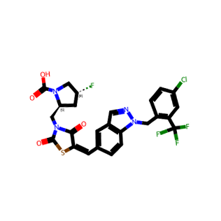 O=C1SC(=Cc2ccc3c(cnn3Cc3ccc(Cl)cc3C(F)(F)F)c2)C(=O)N1C[C@@H]1C[C@@H](F)CN1C(=O)O